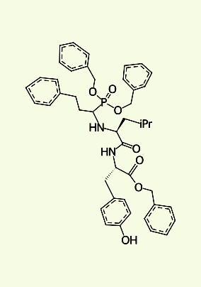 CC(C)C[C@H](NC(CCc1ccccc1)P(=O)(OCc1ccccc1)OCc1ccccc1)C(=O)N[C@@H](Cc1ccc(O)cc1)C(=O)OCc1ccccc1